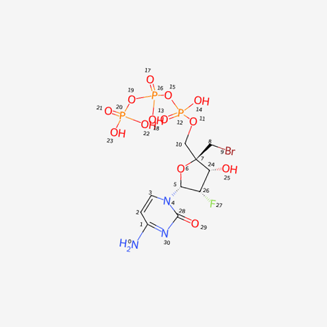 Nc1ccn([C@@H]2O[C@](CBr)(COP(=O)(O)OP(=O)(O)OP(=O)(O)O)[C@H](O)[C@@H]2F)c(=O)n1